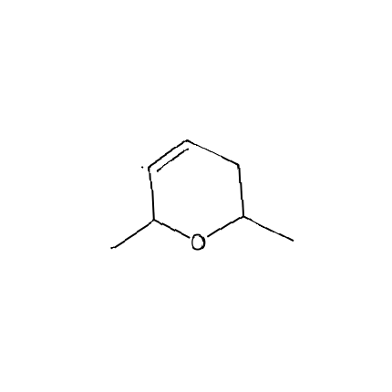 CC1[C]=CCC(C)O1